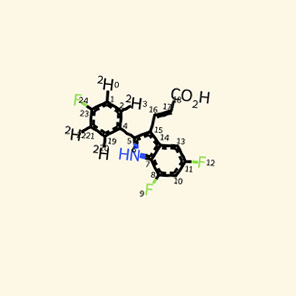 [2H]c1c([2H])c(-c2[nH]c3c(F)cc(F)cc3c2/C=C/C(=O)O)c([2H])c([2H])c1F